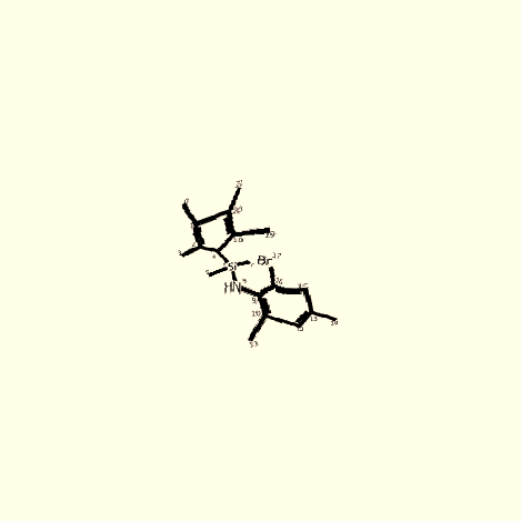 CC1=C(C)C([Si](C)(C)Nc2c(C)cc(C)cc2Br)C(C)=C1C